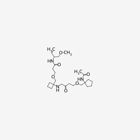 CCC(COC)NC(=O)CCOCC1(NCC(=O)CCOCC2(NC(C)=O)CCCC2)CCC1